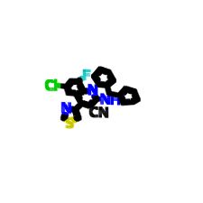 N#Cc1c(NC(c2ccccc2)c2ccccc2)nc2c(F)cc(Cl)cc2c1-c1cscn1